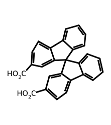 O=C(O)c1ccc2c(c1)C1(c3ccccc3-2)c2ccccc2-c2ccc(C(=O)O)cc21